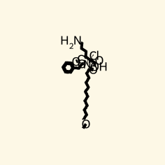 COCCCCCCCCCCCC(=O)N(OCc1ccccc1)[C@](Cl)(C(=O)O)C(=C=O)CCCN